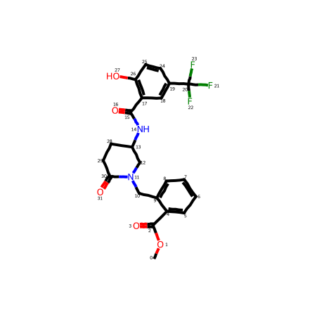 COC(=O)c1ccccc1CN1CC(NC(=O)c2cc(C(F)(F)F)ccc2O)CCC1=O